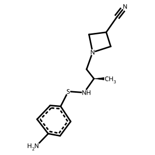 C[C@H](CN1CC(C#N)C1)NSc1ccc(N)cc1